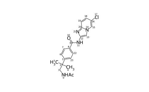 CC(=O)NCC(C)(C)c1ccc(C(=O)Nc2cn3cc(Cl)ccc3n2)cc1